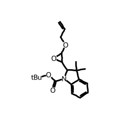 C=CCOC1OC1C1N(C(=O)OC(C)(C)C)c2ccccc2C1(C)C